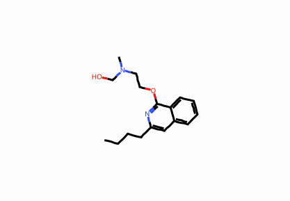 CCCCc1cc2ccccc2c(OCCN(C)CO)n1